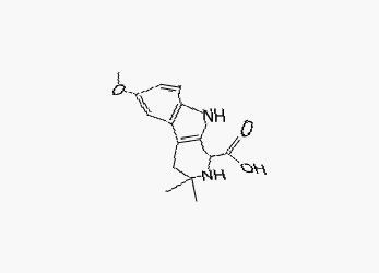 COc1ccc2[nH]c3c(c2c1)CC(C)(C)NC3C(=O)O